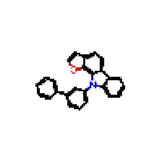 c1ccc(-c2cccc(-n3c4ccccc4c4ccc5ccoc5c43)c2)cc1